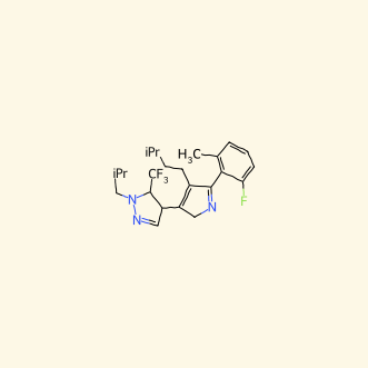 Cc1cccc(F)c1C1=NCC(C2C=NN(CC(C)C)C2C(F)(F)F)=C1CCC(C)C